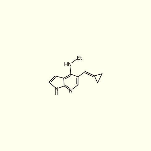 CCNc1c(C=C2CC2)cnc2[nH]ccc12